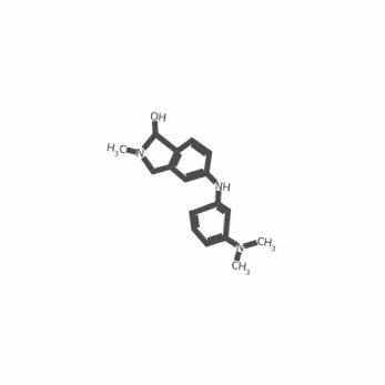 CN(C)c1cccc(Nc2ccc3c(c2)CN(C)C3O)c1